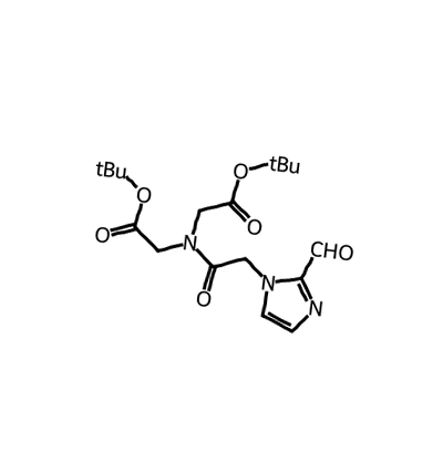 CC(C)(C)OC(=O)CN(CC(=O)OC(C)(C)C)C(=O)Cn1ccnc1C=O